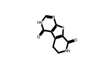 O=C1NCCc2c1sc1nc[nH]c(=O)c21